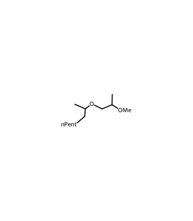 [CH2]OC(C)COC(C)CCCCCC